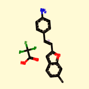 Cc1ccc2cc(/C=C/c3ccc(N)cc3)oc2c1.O=C(O)C(F)(F)F